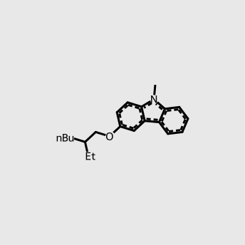 CCCCC(CC)COc1ccc2c(c1)c1ccccc1n2C